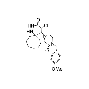 COc1ccc(CN2CCN(C3C(Cl)C(=O)NNC34CCCCCCC4)CC2=O)cc1